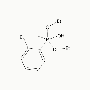 CCOP(C)(O)(OCC)c1ccccc1Cl